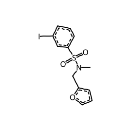 CN(Cc1ccco1)S(=O)(=O)c1cccc(I)c1